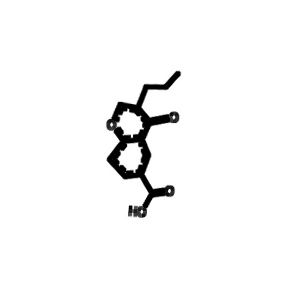 CCCc1coc2ccc(C(=O)O)cc2c1=O